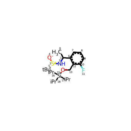 CC(N[S@@+]([O-])C(C)(C)C)c1cccc(F)c1CO[Si](C(C)C)(C(C)C)C(C)C